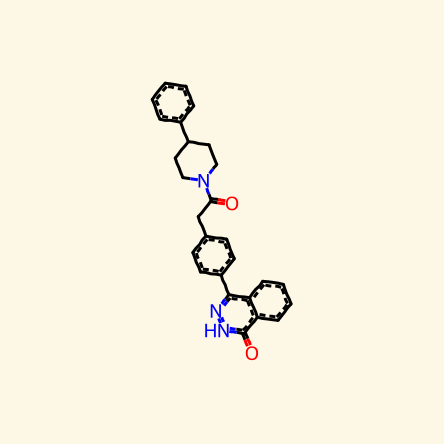 O=C(Cc1ccc(-c2n[nH]c(=O)c3ccccc23)cc1)N1CCC(c2ccccc2)CC1